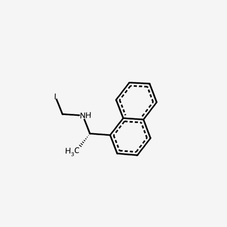 C[C@H](NCI)c1cccc2ccccc12